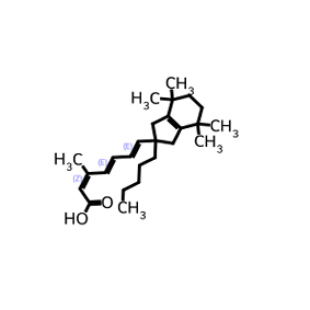 CCCCCC1(/C=C/C=C/C(C)=C\C(=O)O)CC2=C(C1)C(C)(C)CCC2(C)C